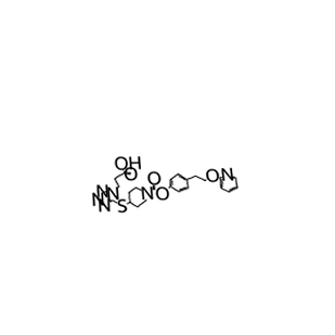 O=C(O)CCn1nnnc1SC1CCN(C(=O)Oc2ccc(CCOc3ccccn3)cc2)CC1